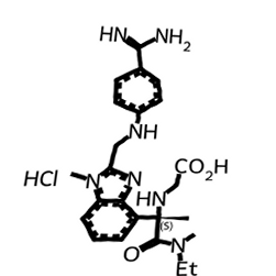 CCN(C)C(=O)[C@@](C)(NCC(=O)O)c1cccc2c1nc(CNc1ccc(C(=N)N)cc1)n2C.Cl